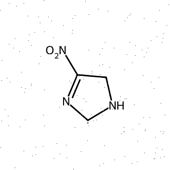 O=[N+]([O-])C1=N[CH]NC1